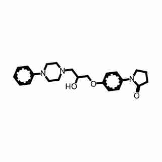 O=C1CCCN1c1ccc(OCC(O)CN2CCN(c3ccccc3)CC2)cc1